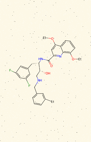 CCOc1cc(C(=O)N[C@@H](Cc2cc(F)cc(F)c2)[C@H](O)CNCc2cccc(CC)c2)nc2c(OCC)cccc12